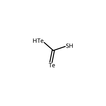 SC(=[Te])[TeH]